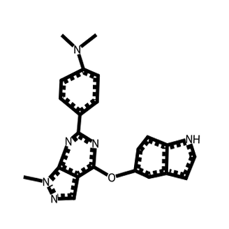 CN(C)c1ccc(-c2nc(Oc3ccc4[nH]ccc4c3)c3cnn(C)c3n2)cc1